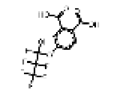 O=C(O)c1ccc(OC(O)(F)C(F)(F)C(F)(F)F)cc1C(=O)O